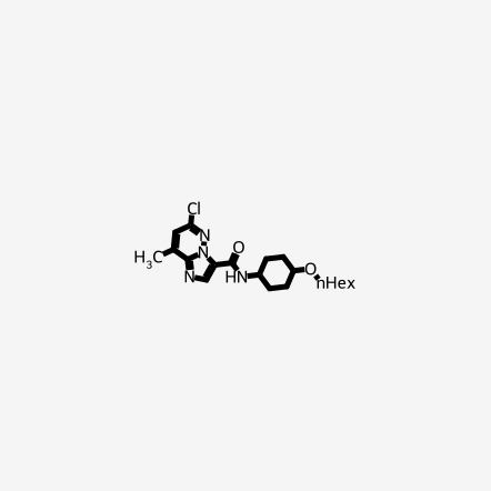 CCCCCCOC1CCC(NC(=O)c2cnc3c(C)cc(Cl)nn23)CC1